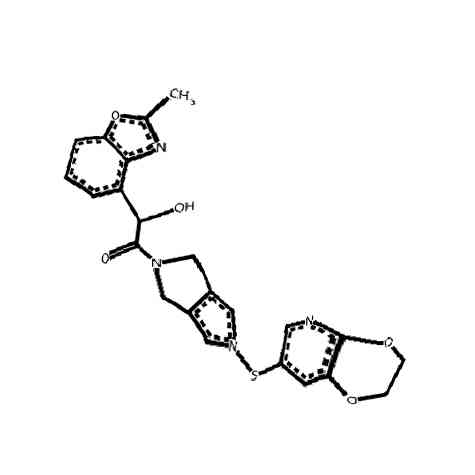 Cc1nc2c(C(O)C(=O)N3Cc4cn(Sc5cnc6c(c5)OCCO6)cc4C3)cccc2o1